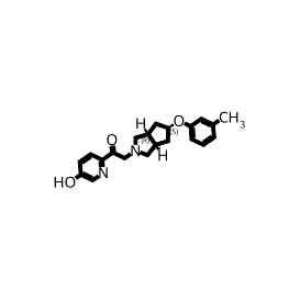 Cc1cccc(O[C@H]2C[C@@H]3CN(CC(=O)c4ccc(O)cn4)C[C@@H]3C2)c1